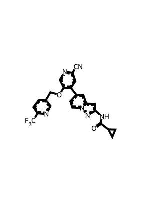 N#Cc1cc(-c2ccn3nc(NC(=O)C4CC4)cc3c2)c(OCc2ccc(C(F)(F)F)nc2)cn1